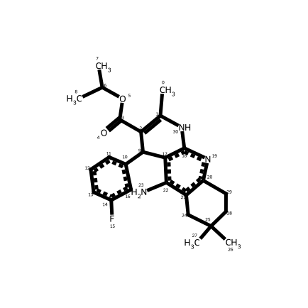 CC1=C(C(=O)OC(C)C)C(c2cccc(F)c2)c2c(nc3c(c2N)CC(C)(C)CC3)N1